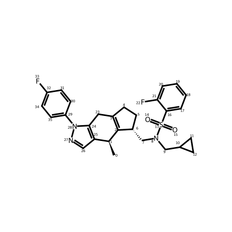 C[C@@H]1C2=C(CC[C@@H]2CN(CC2CC2)S(=O)(=O)c2ccccc2F)Cc2c1cnn2-c1ccc(F)cc1